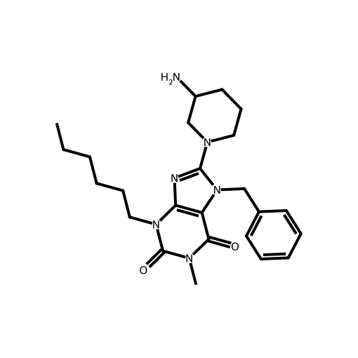 CCCCCCn1c(=O)n(C)c(=O)c2c1nc(N1CCCC(N)C1)n2Cc1ccccc1